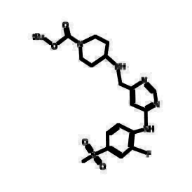 CC(C)(C)OC(=O)N1CCC(NCc2cc(Nc3ccc(S(C)(=O)=O)cc3F)ncn2)CC1